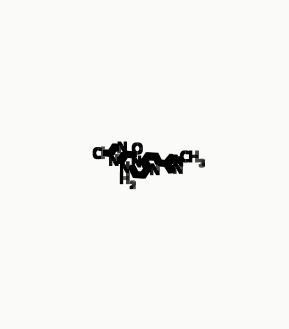 Cn1cc(-c2ccc3c(n2)CCCN3C(=O)c2ncc(Cl)nc2N)cn1